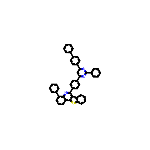 c1ccc(-c2ccc(-c3cc(-c4ccc(-c5nc6c(-c7ccccc7)cccc6c6sc7ccccc7c56)cc4)nc(-c4ccccc4)n3)cc2)cc1